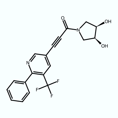 O=C(C#Cc1cnc(-c2ccccc2)c(C(F)(F)F)c1)N1C[C@@H](O)[C@@H](O)C1